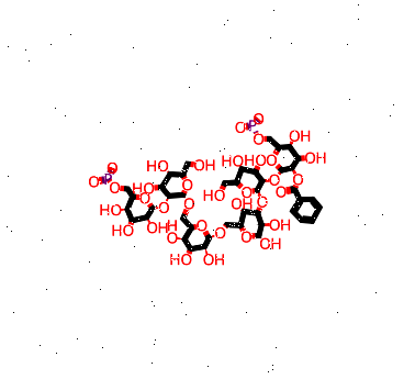 O=C(O[C@@H]1C(O)[C@H](O)C(COP(=O)=O)O[C@@H]1O[C@@H]1C(O)[C@H](O)C(CO)O[C@@H]1OC1[C@H](O)C(CO[C@H]2OC(CO[C@H]3OC(CO)[C@@H](O)C(O)[C@H]3O[C@H]3OC(COP(=O)=O)[C@@H](O)C(O)[C@H]3O)[C@@H](O)C(O)[C@H]2O)O[C@@H](O)[C@@H]1O)c1ccccc1